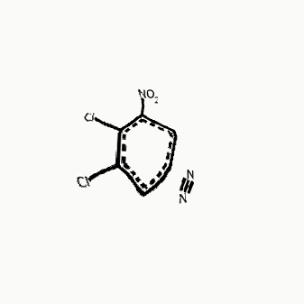 N#N.O=[N+]([O-])c1cccc(Cl)c1Cl